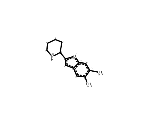 Cc1cc2cc(C3CCCCN3)oc2cc1C